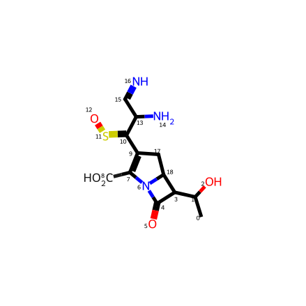 CC(O)C1C(=O)N2C(C(=O)O)=C(C(=S=O)C(N)C=N)CC12